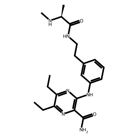 CCc1nc(Nc2cccc(CCNC(=O)[C@H](C)NC)c2)c(C(N)=O)nc1CC